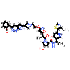 Cc1ncsc1-c1ccc([C@H](C)NC(=O)[C@@H]2C[C@@H](O)CN2C(=O)[C@H](c2cc(OCCN3CC(c4cc5cc(-c6ccccc6O)nnc5[nH]4)C3)no2)C(C)C)cn1